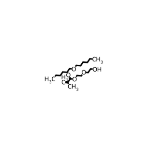 C=C(C)C(=O)OCCOCCO.CCCCCCOCCCCCC